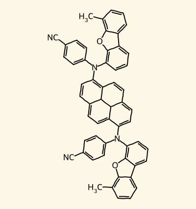 Cc1cccc2c1oc1c(N(C3=CC=C4C=CC5=C(N(c6ccc(C#N)cc6)c6cccc7c6oc6c(C)cccc67)C=CC6=CC=C3C4C65)c3ccc(C#N)cc3)cccc12